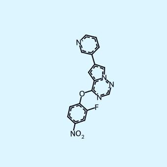 O=[N+]([O-])c1ccc(Oc2ncnn3cc(-c4cccnc4)cc23)c(F)c1